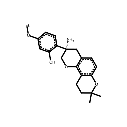 CCOc1ccc([C@]2(N)COc3c(ccc4c3CCC(C)(C)O4)C2)c(O)c1